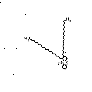 CCCCCCCCCCCCCCCCCCc1ccc2c(c1CCCCCCCCCCCCCCCCCC)Nc1ccccc1S2